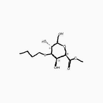 CCCCOC1[C@H](O)C(O)O[C@@H](C(=O)OC)[C@H]1O